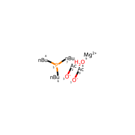 CC(=O)[O-].CC(=O)[O-].CCCCP(CCCC)CCCC.O.[Mg+2]